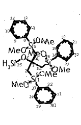 CO[Si](CC(C[Si](OC)(OC)c1ccccc1)(C[Si](OC)(OC)c1ccccc1)O[SiH3])(OC)c1ccccc1